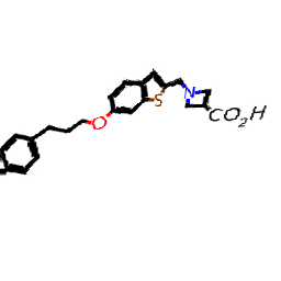 O=C(O)C1CN(Cc2cc3ccc(OCCCc4ccc(F)cc4)cc3s2)C1